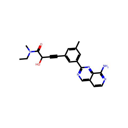 CCN(C)C(=O)C(O)C#Cc1cc(C)cc(-c2ncc3ccnc(N)c3n2)c1